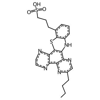 CCCCc1cnc2c3c(c4nccnc4c2n1)Sc1c(CCCS(=O)(=O)O)cccc1N3